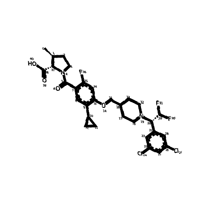 C[C@H]1CCN(C(=O)c2cc(C3CC3)c(OCC3CCN([C@@H](c4cc(Cl)cc(Cl)c4)C(F)F)CC3)cc2F)[C@@H]1C(=O)O